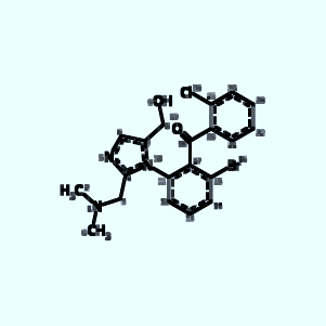 CN(C)Cc1ncc(CO)n1-c1cccc(Br)c1C(=O)c1ccccc1Cl